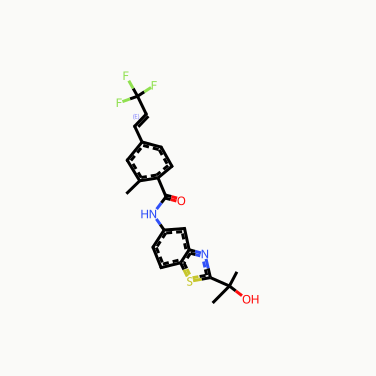 Cc1cc(/C=C/C(F)(F)F)ccc1C(=O)Nc1ccc2sc(C(C)(C)O)nc2c1